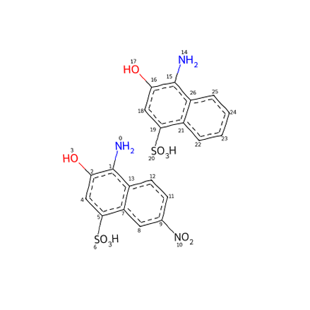 Nc1c(O)cc(S(=O)(=O)O)c2cc([N+](=O)[O-])ccc12.Nc1c(O)cc(S(=O)(=O)O)c2ccccc12